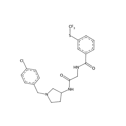 O=C(CNC(=O)c1cccc(SC(F)(F)F)c1)NC1CCN(Cc2ccc(Cl)cc2)C1